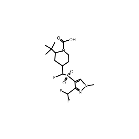 Cn1cc(S(=O)(=O)C(F)C2CCN(C(=O)O)C(C(C)(C)C)C2)c(C(F)F)n1